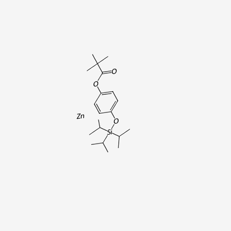 CC(C)[Si](Oc1ccc(OC(=O)C(C)(C)C)cc1)(C(C)C)C(C)C.[Zn]